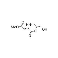 COC(=O)C=C1NCC(CO)OC1=O